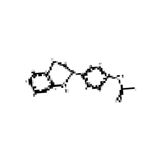 CC(=O)Oc1ccc(C2[CH]Cc3cc[c]cc3O2)cc1